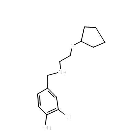 Oc1ccc(CNCCSC2CCCC2)cc1O